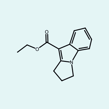 CCOC(=O)c1c2n(c3ccccc13)CCC2